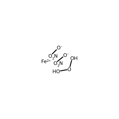 O=[N+]([O-])[O-].O=[N+]([O-])[O-].OOO.[Fe+2]